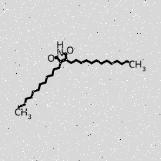 CCCCCCCCCCCCCC1=C(CCCCCCCCCCCCC)C(=O)NC1=O